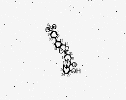 CS(=O)(=O)c1ccc(-c2ccc3c(c2)COC(C2CCN(C(=O)c4ncccc4O)CC2)O3)cc1